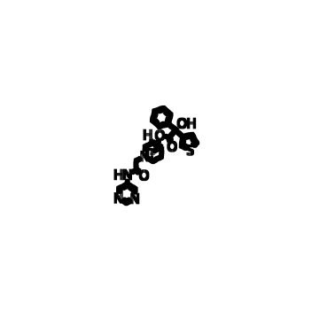 O=C(C[N+]12CCC(CC1)[C@@H](OC(=O)C(O)(c1ccccc1)c1ccsc1)C2)Nc1cncnc1